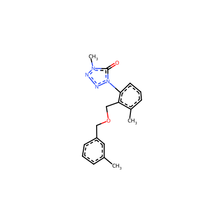 Cc1cccc(COCc2c(C)cccc2-n2nnn(C)c2=O)c1